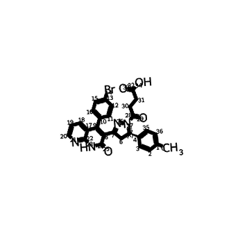 Cc1ccc([C@H]2CC(c3c(-c4ccc(Br)cc4)c4cccnc4[nH]c3=O)=NN2C(=O)CCC(=O)O)cc1